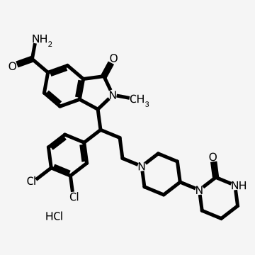 CN1C(=O)c2cc(C(N)=O)ccc2C1C(CCN1CCC(N2CCCNC2=O)CC1)c1ccc(Cl)c(Cl)c1.Cl